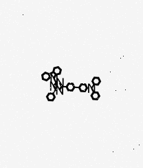 c1ccc(-c2nc(-c3ccc(-c4ccc(N(c5ccccc5)c5ccccc5)cc4)cc3)nc(-n3c4ccccc4c4ccccc43)n2)cc1